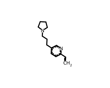 C=Cc1ccc(CCCN2CCCC2)cn1